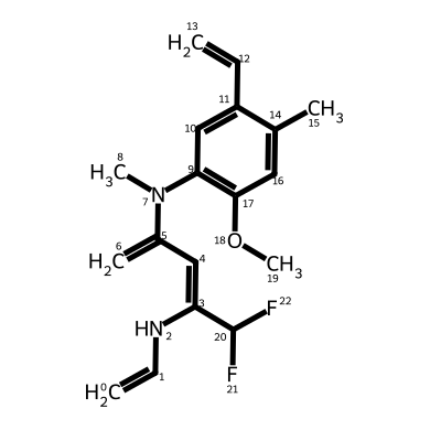 C=CN/C(=C\C(=C)N(C)c1cc(C=C)c(C)cc1OC)C(F)F